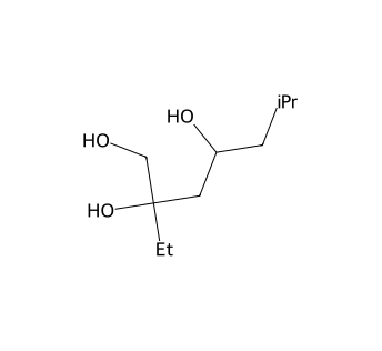 CCC(O)(CO)CC(O)CC(C)C